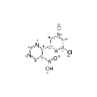 O=C(O)c1cncnc1-c1cc(Cl)cc(Cl)c1